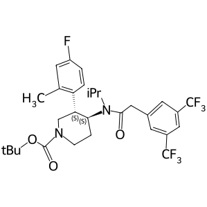 Cc1cc(F)ccc1[C@H]1CN(C(=O)OC(C)(C)C)CC[C@@H]1N(C(=O)Cc1cc(C(F)(F)F)cc(C(F)(F)F)c1)C(C)C